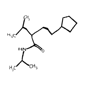 CC(C)NC(=O)C(CCC1CCCC1)C(C)C